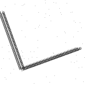 O.O.O.O.O.O.O.O.O.O.O.O.O.O.O.O.O.O.O.O.O.O.O.O.O.O.O.O.O.O.O.O.O.O.O.O.O.O.O.O.O.O.O.O.O.O.O.O.O.O.O.O.O.O.O.O.O.O.O.O.O.O.O.O.O.O.O.O.O.O.O.O.O.O.O.O.O.O.O.O.O